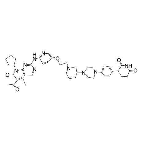 CC(=O)c1c(C)c2cnc(Nc3ccc(OCCN4CCCC(N5CCN(c6ccc(C7CCC(=O)NC7=O)cc6)CC5)C4)cn3)nc2n(C2CCCC2)c1=O